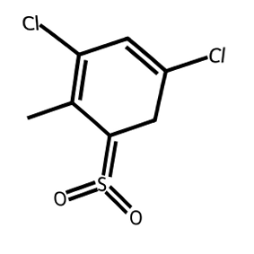 CC1=C(Cl)C=C(Cl)CC1=S(=O)=O